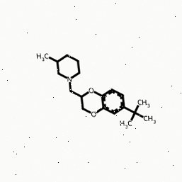 CC1CCCN(CC2COc3cc(C(C)(C)C)ccc3O2)C1